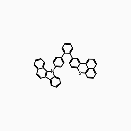 c1ccc(-c2ccc3c(c2)-c2cccc4cccc(c24)S3)c(-c2ccc(-n3c4ccccc4c4ccc5ccccc5c43)cc2)c1